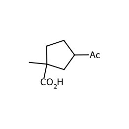 CC(=O)C1CCC(C)(C(=O)O)C1